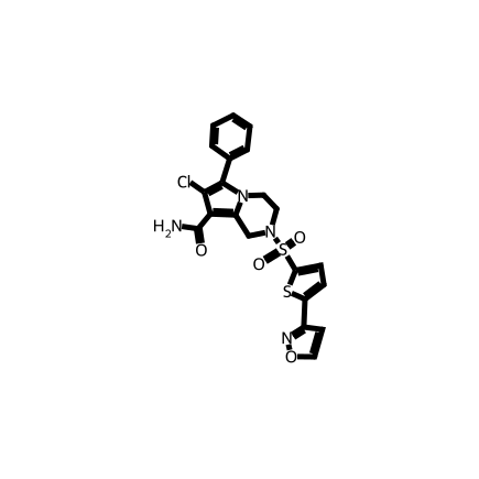 NC(=O)c1c(Cl)c(-c2ccccc2)n2c1CN(S(=O)(=O)c1ccc(-c3ccon3)s1)CC2